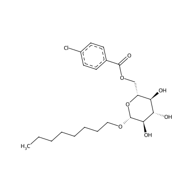 CCCCCCCCO[C@@H]1O[C@H](COC(=O)c2ccc(Cl)cc2)[C@@H](O)[C@H](O)[C@H]1O